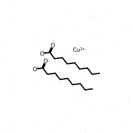 CCCCCCCCC(=O)[O-].CCCCCCCCC(=O)[O-].[Cu+2]